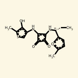 CC[C@@H](Nc1c(Nc2csc(C)c2O)c(=O)c1=O)c1ccc(C)o1